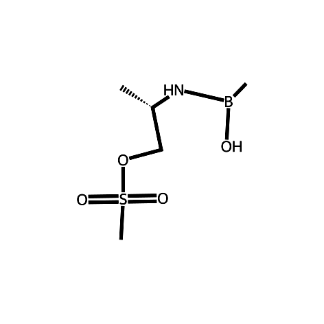 CB(O)N[C@@H](C)COS(C)(=O)=O